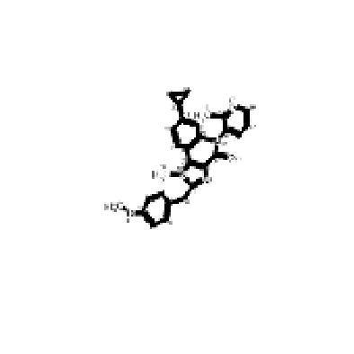 COc1ccc(Cc2nc3c(=O)n(-c4cccnc4C)c4cc(C5CC5)ccc4c3n2C)cc1